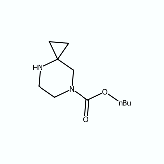 CCCCOC(=O)N1CCNC2(CC2)C1